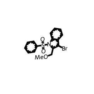 COCc1c(Br)c2ccccc2n1S(=O)(=O)c1ccccc1